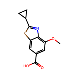 COc1cc(C(=O)O)cc2sc(C3CC3)nc12